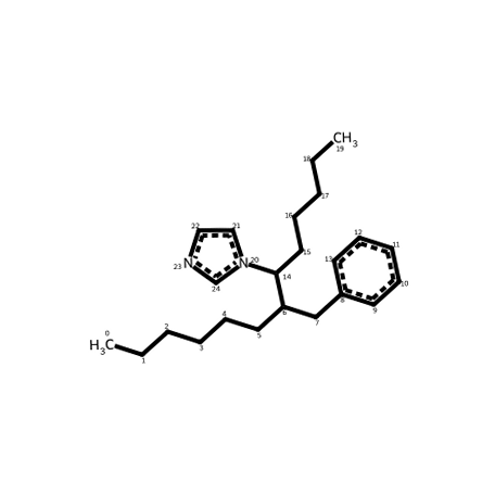 CCCCCCC(Cc1ccccc1)C(CCCCC)n1ccnc1